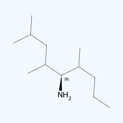 CCCC(C)[C@@H](N)C(C)CC(C)C